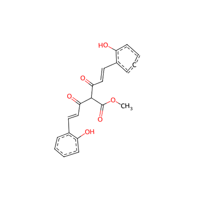 COC(=O)C(C(=O)/C=C/c1ccccc1O)C(=O)/C=C/c1ccccc1O